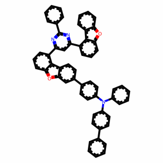 c1ccc(-c2ccc(N(c3ccccc3)c3ccc(-c4ccc5c(c4)oc4cccc(-c6cc(-c7cccc8oc9ccccc9c78)nc(-c7ccccc7)n6)c45)cc3)cc2)cc1